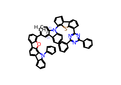 C=C(/C=c1\c(=C/C)n(-c2cccc3c2sc2c(-c4nc(-c5ccccc5)nc(-c5ccccc5)n4)cccc23)c2ccccc12)c1cccc2c1oc1c2ccc2c3ccccc3n(-c3ccccc3)c21